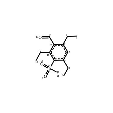 CCc1cc(CC)c(S(=O)(=O)F)c(CC)c1C=O